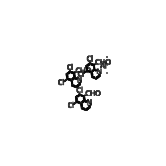 O=Cc1c(Cl)cc(Cl)c2cccnc12.O=Cc1c(Cl)cc(Cl)c2cccnc12.O=Cc1c(Cl)cc(Cl)c2cccnc12.[Al]